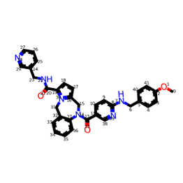 COc1ccc(CNc2ccc(C(=O)N3Cc4ccc(C(=O)NCc5cccnc5)n4Cc4ccccc43)cn2)cc1